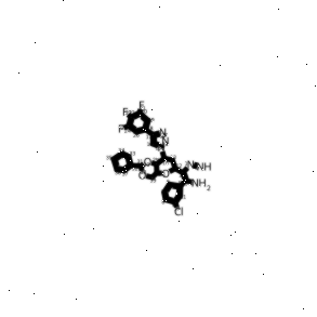 N=N/C(=C(\N)c1cccc(Cl)c1)C1CC(n2cc(-c3cc(F)c(F)c(F)c3)nn2)C2OC(c3ccccc3)OCC2O1